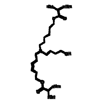 CCCCCCCCC(CCCCCC)C(=O)OCC/C=C\CCN(CCCCO)CCCCCCOC(=O)C(CCCCCC)CCCCCCCC